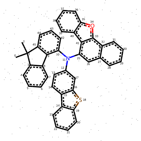 CC1(C)c2ccccc2-c2c(N(c3ccc4c(c3)sc3ccccc34)c3cc4ccccc4c4oc5ccccc5c34)cccc21